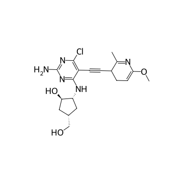 COC1=CCC(C#Cc2c(Cl)nc(N)nc2N[C@@H]2C[C@H](CO)C[C@H]2O)C(C)=N1